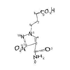 NC(=O)c1cn(CCCC(=O)O)nc1[N+](=O)[O-]